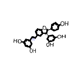 Oc1ccc([C@@H]2Oc3ccc(/C=C/c4cc(O)cc(O)c4)cc3[C@H]2c2cc(O)cc(O)c2)cc1